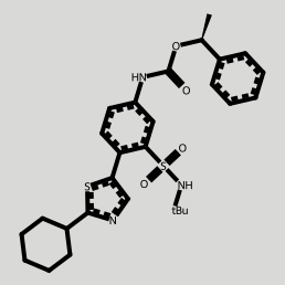 C[C@H](OC(=O)Nc1ccc(-c2cnc(C3CCCCC3)s2)c(S(=O)(=O)NC(C)(C)C)c1)c1ccccc1